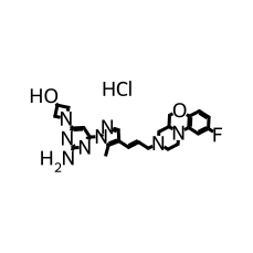 Cc1c(/C=C/CN2CCN3c4cc(F)ccc4OCC3C2)cnn1-c1cc(N2CC(O)C2)nc(N)n1.Cl